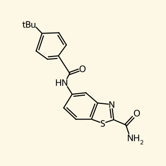 CC(C)(C)c1ccc(C(=O)Nc2ccc3sc(C(N)=O)nc3c2)cc1